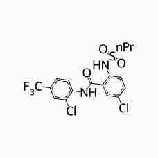 CCCS(=O)(=O)Nc1ccc(Cl)cc1C(=O)Nc1ccc(C(F)(F)F)cc1Cl